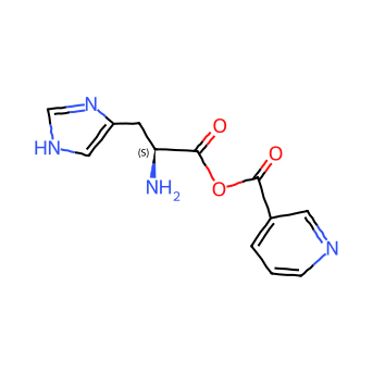 N[C@@H](Cc1c[nH]cn1)C(=O)OC(=O)c1cccnc1